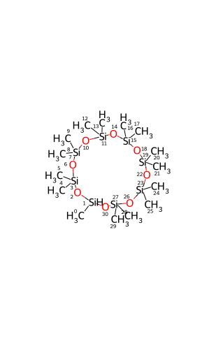 C[SiH]1O[Si](C)(C)O[Si](C)(C)O[Si](C)(C)O[Si](C)(C)O[Si](C)(C)O[Si](C)(C)O[Si](C)(C)O1